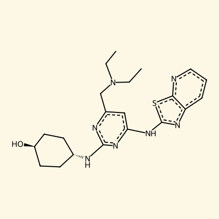 CCN(CC)Cc1cc(Nc2nc3cccnc3s2)nc(N[C@H]2CC[C@H](O)CC2)n1